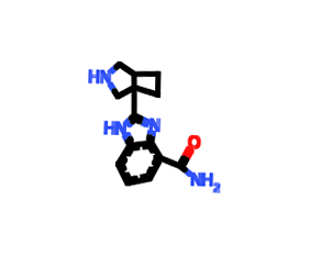 NC(=O)c1cccc2[nH]c(C34CCC3CNC4)nc12